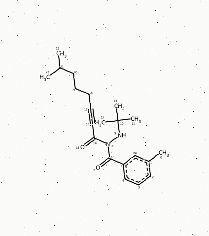 Cc1cccc(C(=O)N(NC(C)(C)C)C(=O)C#CCCCC(C)C)c1